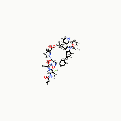 C=CC(=O)N1CC[C@](F)(C(=O)N(C)C(C(=O)N[C@H]2Cc3cccc(c3)-c3ccc4c(c3)c(c(-c3cccnc3[C@@H]3CCCO3)n4CC(F)(F)F)CC(C)(C)COC(=O)[C@@H]3CCCN(N3)C2=O)C(C)C)C1